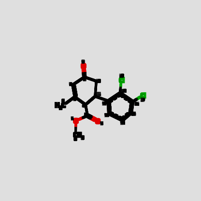 COC(=O)C1C(C)=CC(=O)CC1c1cccc(Cl)c1Cl